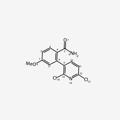 COc1ccc(C(N)=O)c(-c2ccc(Cl)nc2Cl)c1